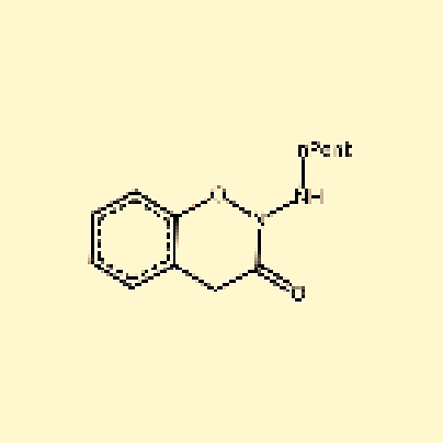 CCCCCNN1Oc2ccccc2CC1=O